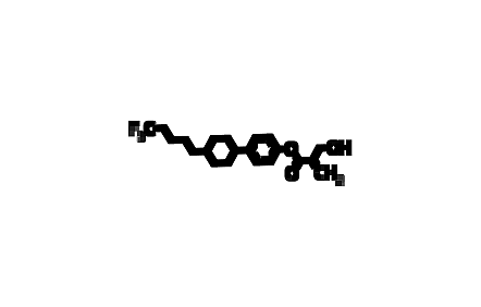 C=C(CO)C(=O)Oc1ccc(C2CCC(CCCCC(F)(F)F)CC2)cc1